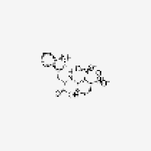 O=C(O)C(Cc1c[nH]c2ccccc12)Nc1cccc([N+](=O)[O-])c1[N+](=O)[O-]